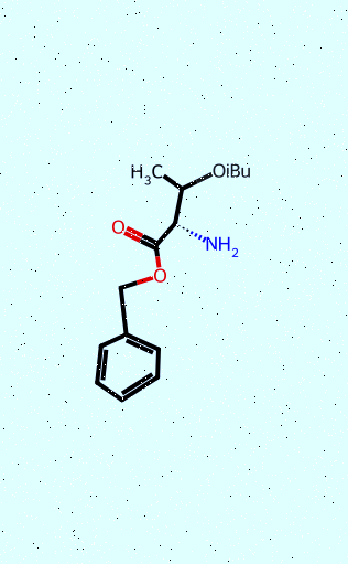 CC(C)COC(C)[C@H](N)C(=O)OCc1ccccc1